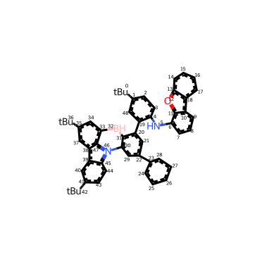 CC(C)(C)c1ccc(Nc2cccc3c2oc2ccccc23)c(-c2cc(-c3ccccc3)cc3c2Bc2cc(C(C)(C)C)cc4c5cc(C(C)(C)C)ccc5n-3c24)c1